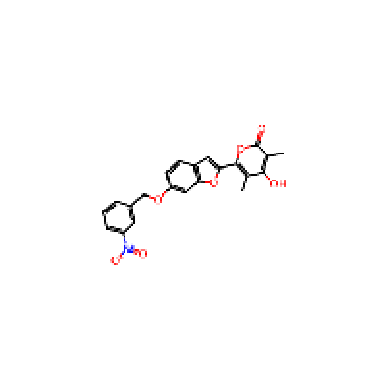 Cc1c(-c2cc3ccc(OCc4cccc([N+](=O)[O-])c4)cc3o2)oc(=O)c(C)c1O